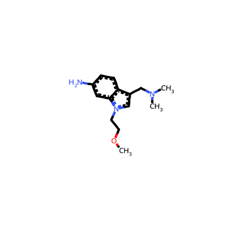 COCCn1cc(CN(C)C)c2ccc(N)cc21